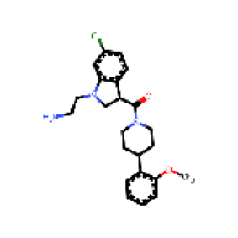 NCCN1CC(C(=O)N2CCC(c3ccccc3OC(F)(F)F)CC2)c2ccc(Cl)cc21